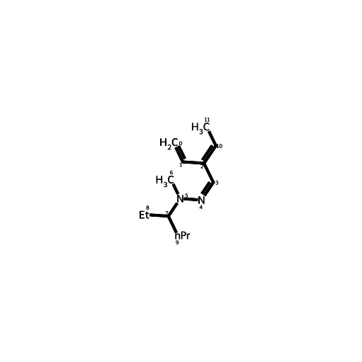 C=CC(/C=N\N(C)C(CC)CCC)=C\C